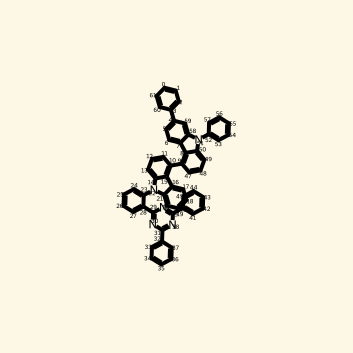 c1ccc(-c2ccc3c4c(-c5cccc6c5c5ccccc5n6-c5ccccc5-c5nc(-c6ccccc6)nc(-c6ccccc6)n5)cccc4n(-c4ccccc4)c3c2)cc1